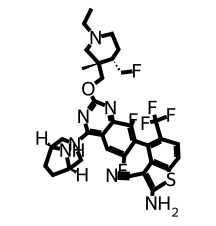 CCN1CC[C@H](CF)[C@](C)(COc2nc(N3C[C@H]4CC[C@@H](C3)N4)c3cc(F)c(-c4c(C(F)(F)F)ccc5sc(N)c(C#N)c45)c(F)c3n2)C1